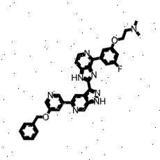 CN(C)CCOc1cc(F)cc(-c2nccc3[nH]c(-c4n[nH]c5cnc(-c6cncc(OCc7ccccc7)c6)cc45)nc23)c1